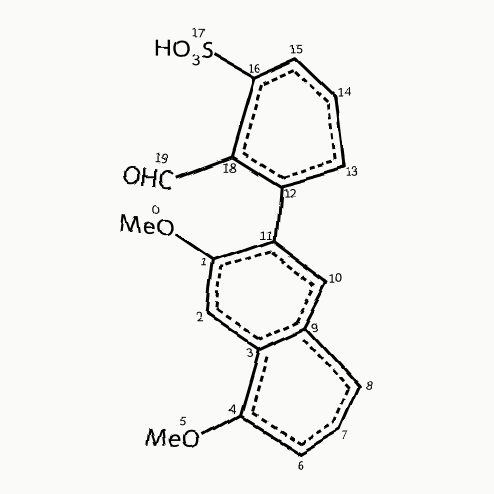 COc1cc2c(OC)cccc2cc1-c1cccc(S(=O)(=O)O)c1C=O